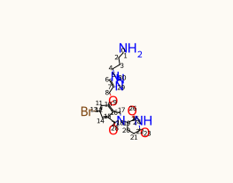 NCCCCn1cc(COc2cc(Br)cc3c2CN(C2CCC(=O)NC2=O)C3=O)nn1